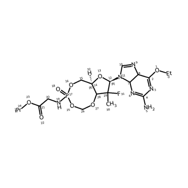 CCOC1=NC(N)=NC2C1N=CN2[C@@H]1O[C@@H]2COP(=O)(NCC(=O)OC(C)C)OCOC2C1(C)F